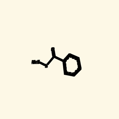 CSSC(=O)c1ccccc1